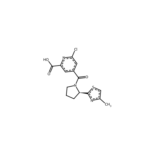 Cc1csc([C@H]2CCCN2C(=O)c2cc(Cl)nc(C(=O)O)c2)n1